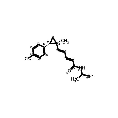 CC(C)C(C)NC(=O)C=CC=C[C@]1(C)C[C@H]1c1ccc(Cl)cc1